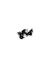 Cc1cccc(-c2sc(C)nc2C(=O)N2CC3CC3C2CNC(=O)c2cc(C)nc(CC(C)C)c2)c1